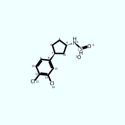 O=[SH](=O)N[C@H]1CC[C@H](c2ccc(Cl)c(Cl)c2)C1